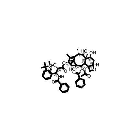 CC(=O)O[C@@]12CO[C@@H]1C[C@H](O)[C@]1(C)[C@@H]2[C@H](OC(=O)c2ccccc2)[C@]2(O)C[C@H](OC(=O)[C@H](O[Si](C)(C)C(C)(C)C)[C@@H](NC(=O)c3ccccc3)c3ccccc3)C(C)=C([C@H](C)[C@@H]1O)C2(C)C